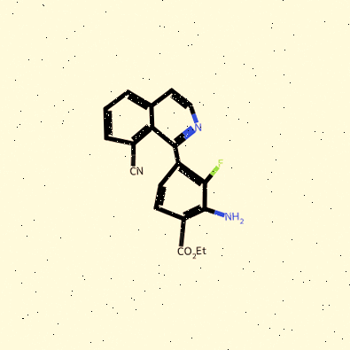 CCOC(=O)c1ccc(-c2nccc3cccc(C#N)c23)c(F)c1N